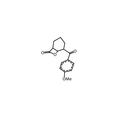 COc1ccc(C(=O)C2CCCC3C(=O)OC32)cc1